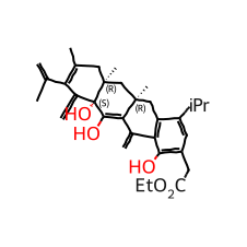 C=C(C)C1=C(C)C[C@@]2(C)C[C@@]3(C)Cc4c(C(C)C)cc(CC(=O)OCC)c(O)c4C(=C)C3=C(O)[C@@]2(O)C1=C